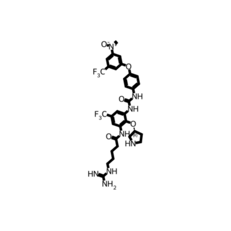 C=[N+]([O-])c1cc(Oc2ccc(NC(=O)Nc3cc(C(F)(F)F)cc(NC(=O)CCCCNC(=N)N)c3O[C@@H]3CCNC3)cc2)cc(C(F)(F)F)c1